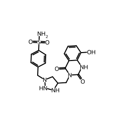 NS(=O)(=O)c1ccc(CN2CC(Cn3c(=O)[nH]c4c(O)cccc4c3=O)NN2)cc1